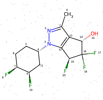 Cc1nn([C@H]2CC[C@H](F)[C@H](F)C2)c2c1[C@H](O)C(F)(F)[C@H]2F